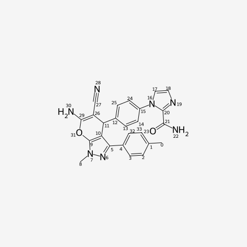 Cc1ccc(-c2nn(C)c3c2C(c2ccc(-n4ccnc4C(N)=O)cc2)C(C#N)=C(N)O3)cc1